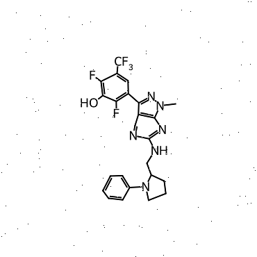 Cn1nc(-c2cc(C(F)(F)F)c(F)c(O)c2F)c2cnc(NCC3CCCN3c3ccccc3)nc21